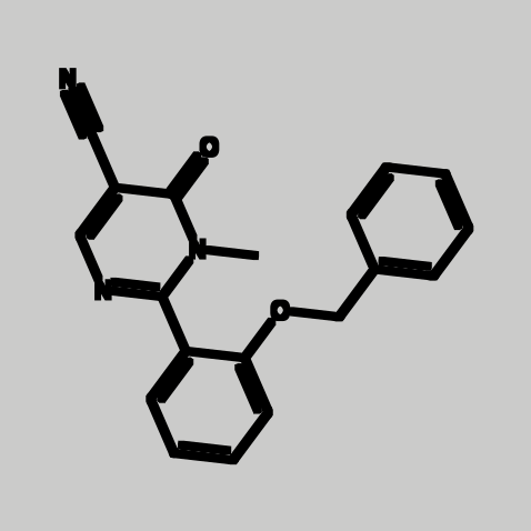 Cn1c(-c2ccccc2OCc2ccccc2)ncc(C#N)c1=O